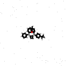 Cc1ccc(N(c2ccc(C(C)(C)C)cc2)C2CC[C@H]2N(c2ccccc2)c2ccccc2)cc1